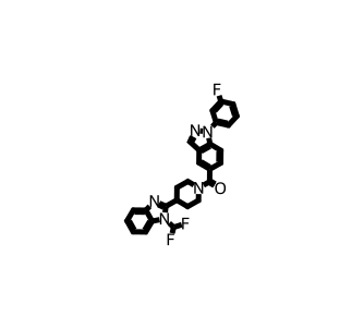 O=C(c1ccc2c(cnn2-c2cccc(F)c2)c1)N1CCC(c2nc3ccccc3n2C(F)F)CC1